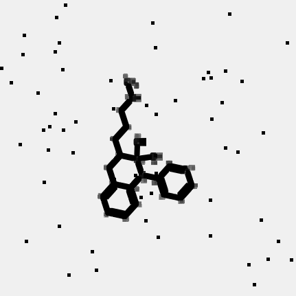 CNCCCC1Cc2ccccc2N(c2cccnc2)S1(O)O